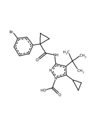 CC(C)(C)c1c(NC(=O)C2(c3cccc(Br)c3)CC2)nn(C(=O)O)c1C1CC1